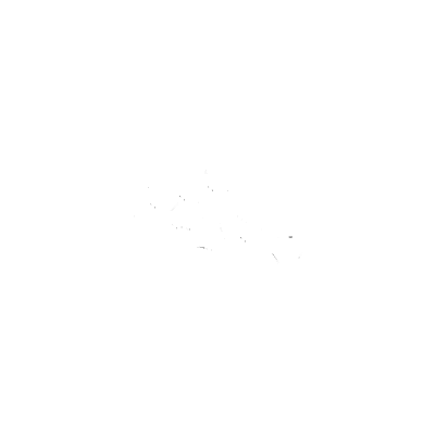 CC(=O)N(C(C)=O)c1nc(N(C(C)=O)C(C)=O)c2c(ccc3c2ccn3Cc2ccccc2C(F)(F)F)n1